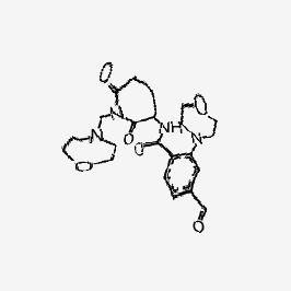 O=Cc1ccc(C(=O)NC2CCC(=O)N(CN3CCOCC3)C2=O)c(N2CCOCC2)c1